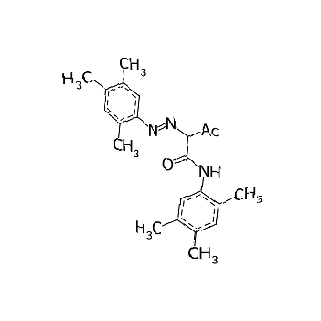 CC(=O)C(/N=N/c1cc(C)c(C)cc1C)C(=O)Nc1cc(C)c(C)cc1C